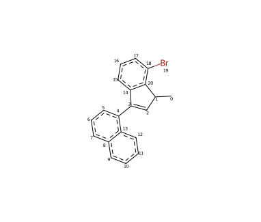 CC1C=C(c2cccc3ccccc23)c2cccc(Br)c21